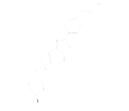 COCCc1ccc(-c2[nH]c3cc(S(=O)(=O)N[C@H]4CC[C@H](C(=O)O)CC4)ccc3c2Cl)cc1